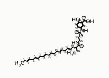 CCC=CCC=CCC=CCC=CCC=CCC=CCC(CC)C(=O)NCCOC(=O)Nc1ccc(O)c(C(=O)O)c1